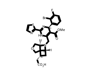 COC(=O)C1=C(CN2[C@@H]3COCC34[C@@H](CC(=O)O)C[C@@H]24)NC(c2nccs2)=N[C@H]1c1cccc(F)c1Br